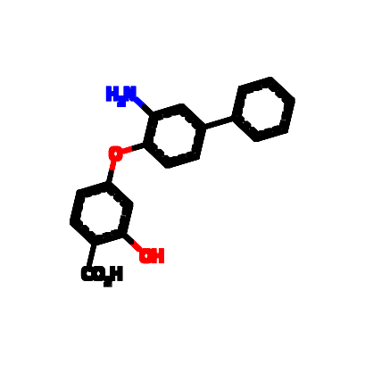 Nc1cc(-c2ccccc2)ccc1Oc1ccc(C(=O)O)c(O)c1